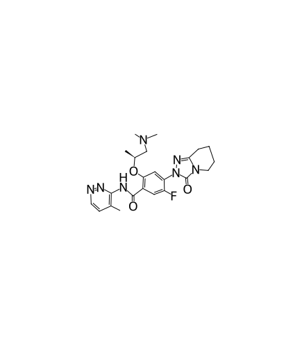 Cc1ccnnc1NC(=O)c1cc(F)c(-n2nc3n(c2=O)CCCC3)cc1O[C@@H](C)CN(C)C